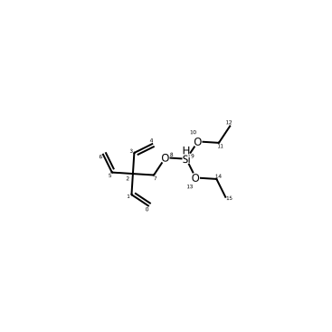 C=CC(C=C)(C=C)CO[SiH](OCC)OCC